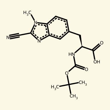 Cn1c(C#N)nc2cc(C[C@H](NC(=O)OC(C)(C)C)C(=O)O)ccc21